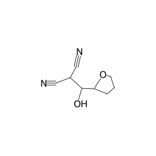 N#CC(C#N)C(O)C1CCCO1